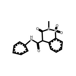 CN1C(=O)C(C(=O)Nc2ccccc2)c2ccccc2S1(=O)=O